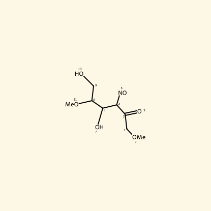 COCC(=O)C(N=O)C(O)C(CO)OC